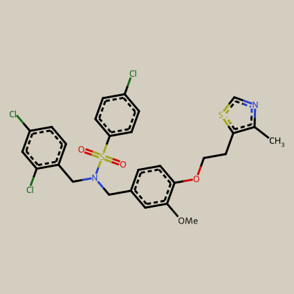 COc1cc(CN(Cc2ccc(Cl)cc2Cl)S(=O)(=O)c2ccc(Cl)cc2)ccc1OCCc1scnc1C